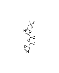 O=C(OC(=O)c1cnc(CC(F)(F)F)o1)c1cnco1